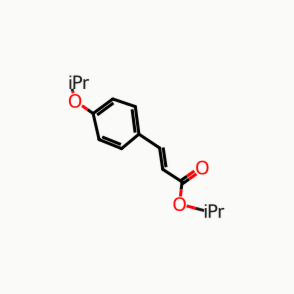 CC(C)OC(=O)/C=C/c1ccc(OC(C)C)cc1